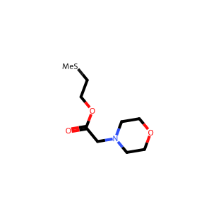 CSCCOC(=O)CN1CCOCC1